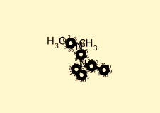 Cc1ccc(N(C)c2ccc(N(c3ccc(-c4ccccc4)cc3)c3cccc4ccccc34)cc2)cc1